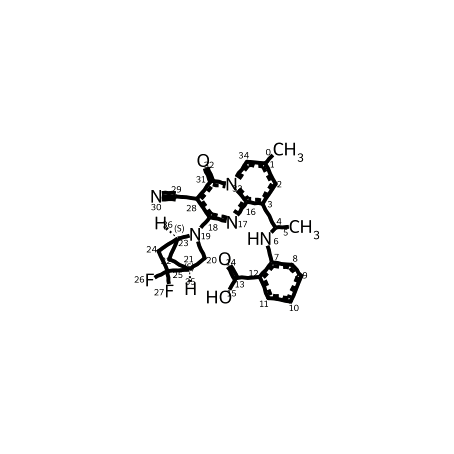 Cc1cc(C(C)Nc2ccccc2C(=O)O)c2nc(N3C[C@@H]4C[C@H]3CC4(F)F)c(C#N)c(=O)n2c1